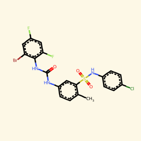 Cc1ccc(NC(=O)Nc2c(F)cc(F)cc2Br)cc1S(=O)(=O)Nc1ccc(Cl)cc1